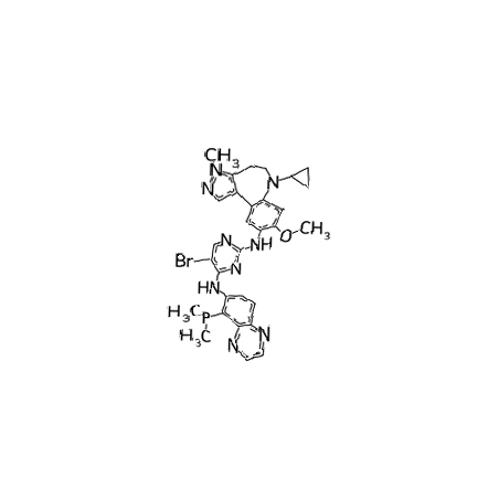 COc1cc2c(cc1Nc1ncc(Br)c(Nc3ccc4nccnc4c3P(C)C)n1)-c1cnn(C)c1CCN2C1CC1